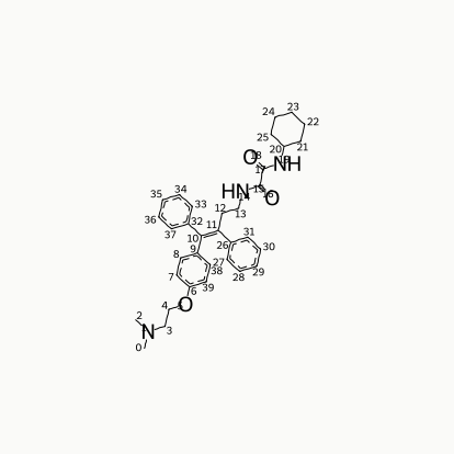 CN(C)CCOc1ccc(/C(=C(/CCNC(=O)C(=O)NC2CCCCC2)c2ccccc2)c2ccccc2)cc1